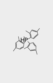 Cc1ccc([PH](C)(c2ccc(C)cc2C)c2ccc(C)cc2C)c(C)c1